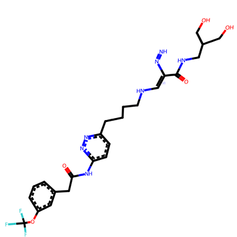 N=N/C(=C\NCCCCc1ccc(NC(=O)Cc2cccc(OC(F)(F)F)c2)nn1)C(=O)NCC(CO)CO